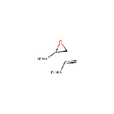 C=CCCCCCC.CCCCCCC1CO1